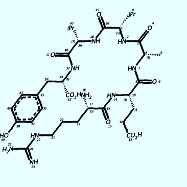 CC(C)[C@H](NC(=O)[C@H](C)NC(=O)[C@H](CCC(=O)O)NC(=O)[C@@H](N)CCCNC(=N)N)C(=O)N[C@H](C(=O)N[C@@H](Cc1ccc(O)cc1)C(=O)O)C(C)C